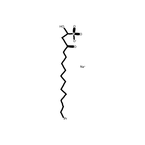 CC(C)CCCCCCCCCCCC(=O)CC(O)S(=O)(=O)[O-].[Na+]